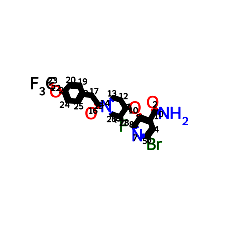 NC(=O)c1cc(Br)ncc1O[C@H]1CCN(C(=O)Cc2ccc(OC(F)(F)F)cc2)C[C@@H]1F